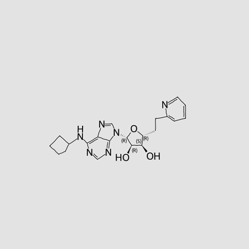 O[C@@H]1[C@H](O)[C@@H](CCc2ccccn2)O[C@H]1n1cnc2c(NC3CCCC3)ncnc21